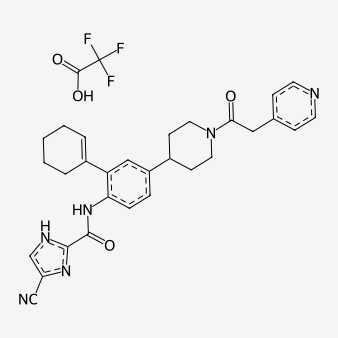 N#Cc1c[nH]c(C(=O)Nc2ccc(C3CCN(C(=O)Cc4ccncc4)CC3)cc2C2=CCCCC2)n1.O=C(O)C(F)(F)F